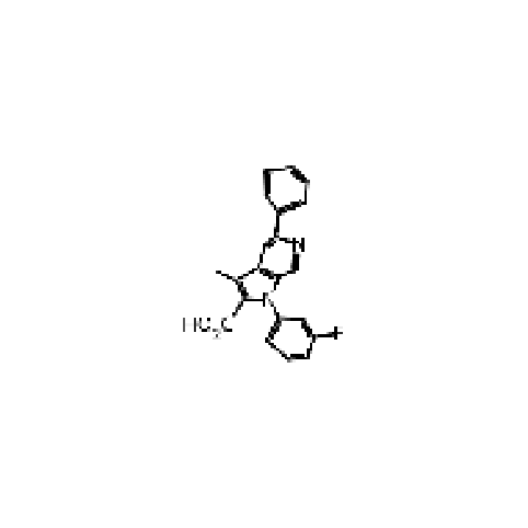 Cc1c(C(=O)O)n(-c2cccc(F)c2)c2cnc(-c3ccccc3)cc12